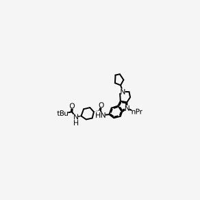 CCCn1c2c(c3cc(NC(=O)[C@H]4CC[C@H](NC(=O)C(C)(C)C)CC4)ccc31)CN(C1CCCC1)CC2